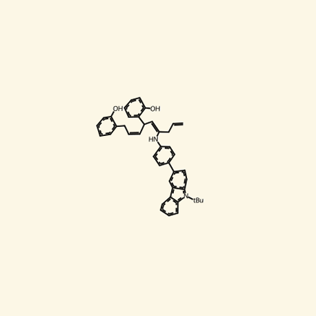 C=CC/C(=C/C(/C=C\Cc1ccccc1O)c1ccccc1O)Nc1ccc(-c2ccc3c(c2)c2ccccc2n3C(C)(C)C)cc1